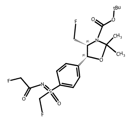 CC(C)(C)OC(=O)N1[C@@H](CF)[C@@H](c2ccc(S(=O)(CF)=NC(=O)CF)cc2)OC1(C)C